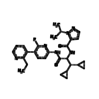 CCc1ncccc1-c1ccc(NC(=O)C(NC(=O)c2ccnn2C(C)C)C(C2CC2)C2CC2)nc1F